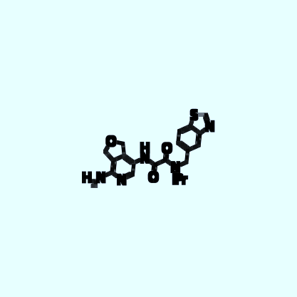 CC(C)N(Cc1ccc2scnc2c1)C(=O)C(=O)Nc1cnc(N)c2c1COC2